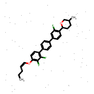 CCC/C=C\Oc1ccc(-c2ccc(-c3ccc(C4CCC(C)CO4)c(F)c3)cc2)c(F)c1F